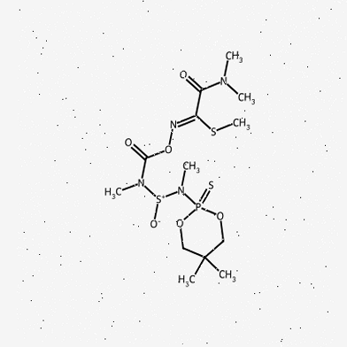 CSC(=NOC(=O)N(C)[S+]([O-])N(C)P1(=S)OCC(C)(C)CO1)C(=O)N(C)C